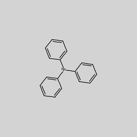 c1ccc([6P](c2ccccc2)c2ccccc2)cc1